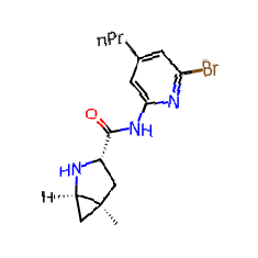 CCCc1cc(Br)nc(NC(=O)[C@@H]2C[C@@]3(C)C[C@H]3N2)c1